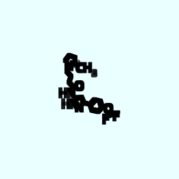 C[C@H]1CCCN1CCCC(=O)Nc1cc(-c2ccc(OC(F)F)cc2)n[nH]1